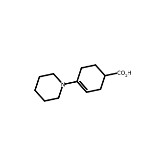 O=C(O)C1CC=C(N2CCCCC2)CC1